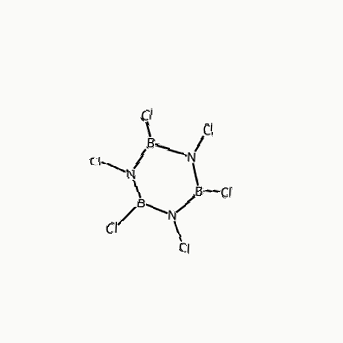 ClB1N(Cl)B(Cl)N(Cl)B(Cl)N1Cl